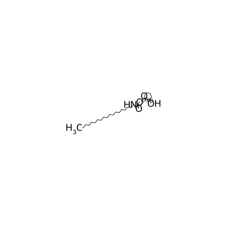 CCCCCCCCCCCCCCCCCCNC(=O)OC[C@@H]1OCCC[C@H]1O